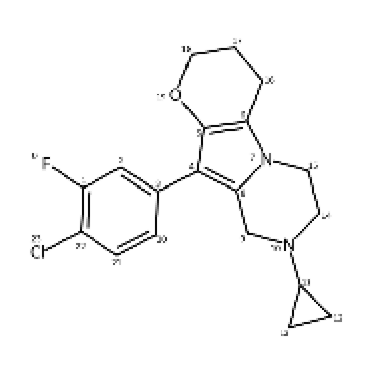 Fc1cc(-c2c3c(n4c2CN(C2CC2)CC4)CCCO3)ccc1Cl